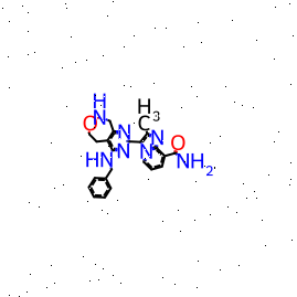 Cc1nc2c(C(N)=O)cccn2c1-c1nc2c(c(NCc3ccccc3)n1)CCONC2